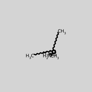 CCCCCCCCCCCCc1cccc(C(C)(C)N)c1CCCCCCCCCCCC.Cl